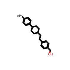 CCCc1ccc(C2CCC(CCc3ccc(CO)cc3)CC2)cc1